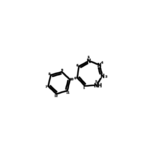 C1=CNN=NN=C1.c1ccccc1